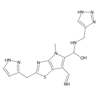 Cn1c(C(O)NCc2c[nH]nn2)c(C=N)c2sc(Cc3cc[nH]n3)nc21